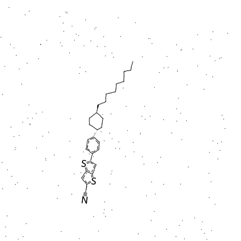 CCCCCCCCC[C@H]1CC[C@H](c2ccc(-c3cc4sc(C#N)cc4s3)cc2)CC1